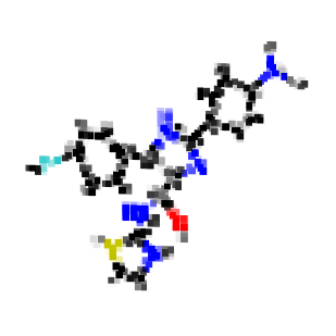 CN(C)c1ccc(-c2nc(C(=O)Nc3nccs3)c(-c3ccc(F)cc3)[nH]2)cc1